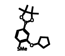 CSc1ccc(B2OC(C)(C)C(C)(C)O2)cc1OC1CCCC1